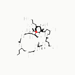 CC[C@H](C)[C@@H]1NC(=O)CNC(=O)[C@@H]2CC3=C(NC4C=C(O)C=CC34)SC[C@H](NC(=O)CNC1=O)C(=O)NC(CC(N)=O)C(=O)N1C[C@H](O)C[C@H]1C(=O)N[C@@H]([C@@H](C)[C@@H](O)CO)C(=O)N2